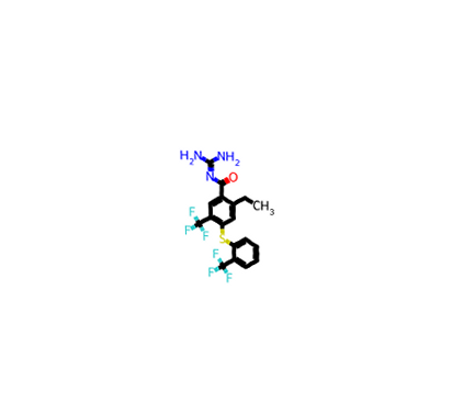 CCc1cc(Sc2ccccc2C(F)(F)F)c(C(F)(F)F)cc1C(=O)N=C(N)N